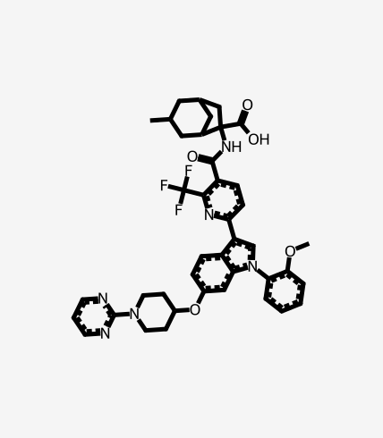 COc1ccccc1-n1cc(-c2ccc(C(=O)NC3(C(=O)O)CC4CC(C)CC3C4)c(C(F)(F)F)n2)c2ccc(OC3CCN(c4ncccn4)CC3)cc21